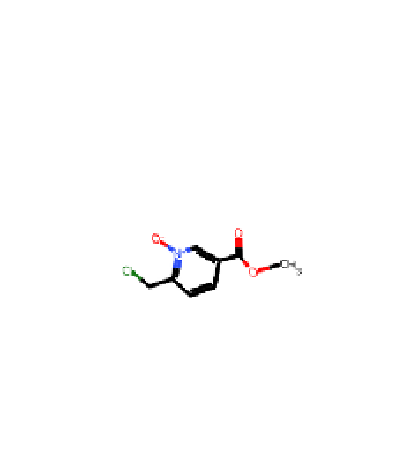 COC(=O)c1ccc(CCl)[n+]([O-])c1